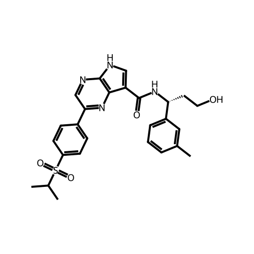 Cc1cccc([C@@H](CCO)NC(=O)c2c[nH]c3ncc(-c4ccc(S(=O)(=O)C(C)C)cc4)nc23)c1